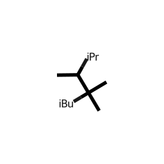 CCC(C)C(C)(C)C(C)C(C)C